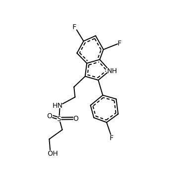 O=S(=O)(CCO)NCCc1c(-c2ccc(F)cc2)[nH]c2c(F)cc(F)cc12